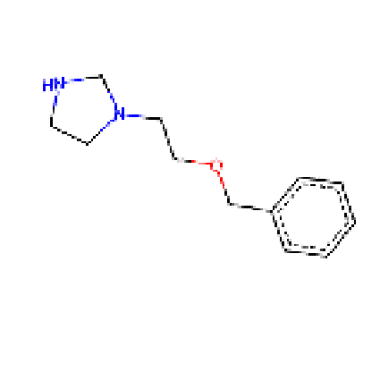 c1ccc(COCCN2CCNC2)cc1